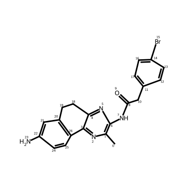 Cc1nc2c(nc1NC(=O)Cc1ccc(Br)cc1)CCc1cc(N)ccc1-2